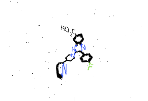 O=C(O)c1ccc2nc(-c3ccc(F)cc3)c(N3CCC(c4ccccn4)CC3)nc2c1